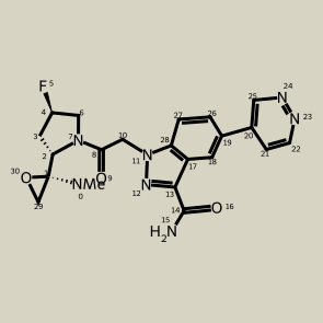 CN[C@]1([C@@H]2C[C@@H](F)CN2C(=O)Cn2nc(C(N)=O)c3cc(-c4ccnnc4)ccc32)CO1